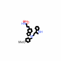 COc1ccc(CN(CCc2c[nH]c3ccccc23)C2CCc3cc(/C=C/C(=O)NO)ccc32)cc1